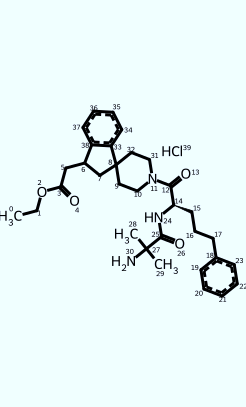 CCOC(=O)CC1CC2(CCN(C(=O)[C@@H](CCCc3ccccc3)NC(=O)C(C)(C)N)CC2)c2ccccc21.Cl